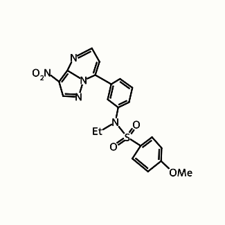 CCN(c1cccc(-c2ccnc3c([N+](=O)[O-])cnn23)c1)S(=O)(=O)c1ccc(OC)cc1